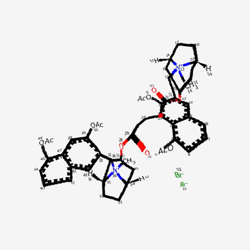 CC(=O)Oc1cc2c(OC(C)=O)cccc2cc1C[N+]1(C)[C@@H]2CC[C@H]1CC(OC(=O)CCC(=O)OC1C[C@H]3CC[C@@H](C1)[N+]3(C)Cc1cc3cccc(OC(C)=O)c3cc1OC(C)=O)C2.[Br-].[Br-]